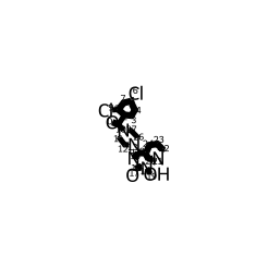 O=C(c1ccc(Cl)cc1Cl)N1CCN(c2nc(=O)n(O)c3ncccc23)CC1